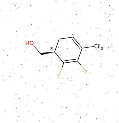 OC[C@H]1CC=C(C(F)(F)F)C(F)=C1F